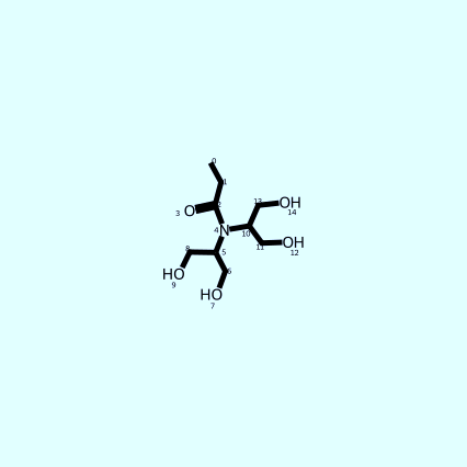 CCC(=O)N(C(CO)CO)C(CO)CO